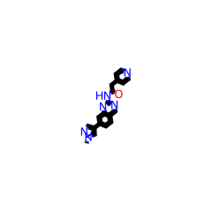 Cn1cc(-c2ccc3cnc(NC(=O)Cc4ccncc4)nc3c2)cn1